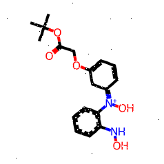 CC(C)(C)OC(=O)COC1=CC=C/C(=[N+](\O)c2ccccc2NO)C1